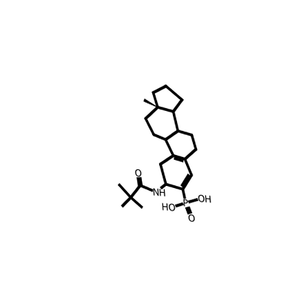 CC(C)(C)C(=O)NC1CC2=C(C=C1P(=O)(O)O)CCC1C2CC[C@]2(C)CCCC12